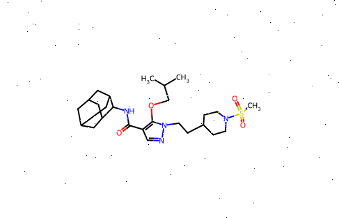 CC(C)COc1c(C(=O)NC2C3CC4CC(C3)CC2C4)cnn1CCC1CCN(S(C)(=O)=O)CC1